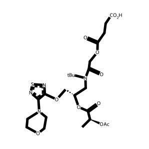 CC(=O)O[C@@H](C)C(=O)O[C@H](COc1nsnc1N1CCOCC1)CN(C(=O)COC(=O)CCC(=O)O)C(C)(C)C